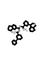 C=C(/N=C(\N=C(/C)c1cccc(-c2ccccc2)c1)c1ccc2ccccc2c1)c1cccc(-c2cncc3ccccc23)c1